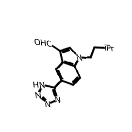 CC(C)CCn1cc(C=O)c2cc(-c3nnn[nH]3)ccc21